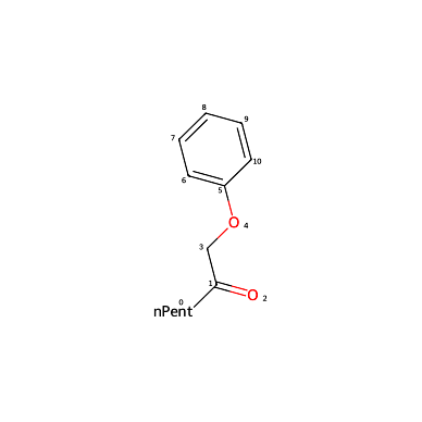 CCCCCC(=O)COc1ccccc1